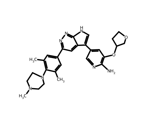 Cc1cc(-c2cc3c(-c4cnc(N)c(OC5CCOC5)c4)c[nH]c3nn2)cc(C)c1N1CCN(C)CC1